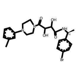 Cc1cccc(N2CCN(C(=O)C(O)C(O)C(=O)N[C@@H](C)c3ccc(Br)cc3)CC2)c1